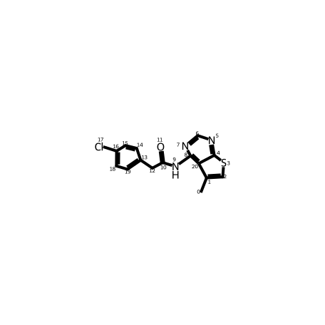 Cc1csc2ncnc(NC(=O)Cc3ccc(Cl)cc3)c12